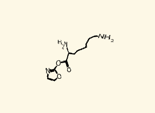 NCCCC[C@H](N)C(=O)OC1=NCCO1